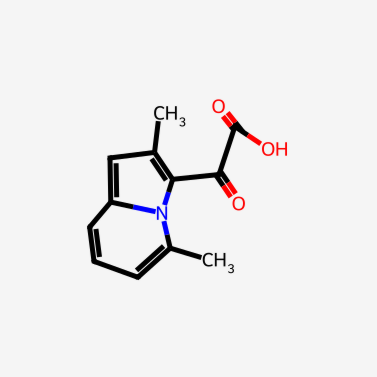 Cc1cc2cccc(C)n2c1C(=O)C(=O)O